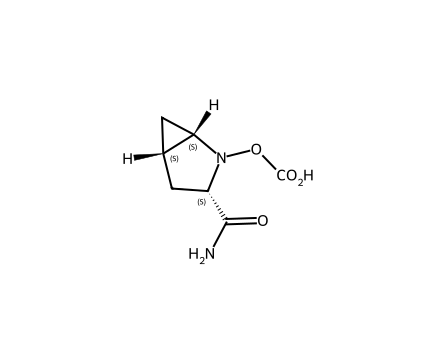 NC(=O)[C@@H]1C[C@@H]2C[C@@H]2N1OC(=O)O